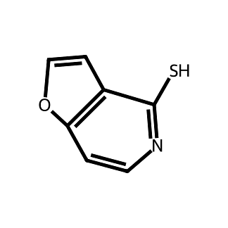 Sc1nccc2occc12